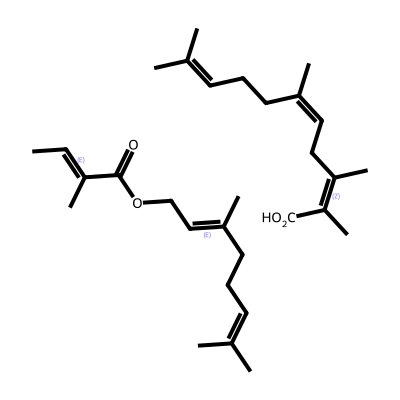 C/C=C(\C)C(=O)OC/C=C(\C)CCC=C(C)C.CC(C)=CCCC(C)=CC/C(C)=C(/C)C(=O)O